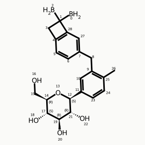 BC1(B)Cc2ccc(Cc3cc([C@@H]4O[C@H](CO)[C@@H](O)[C@H](O)[C@H]4O)ccc3C)cc21